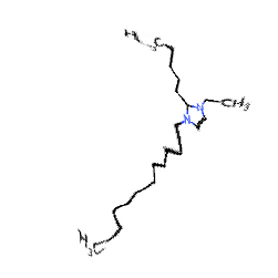 CCCCCCCCCCCN1C=CN(CC)C1CCCCC